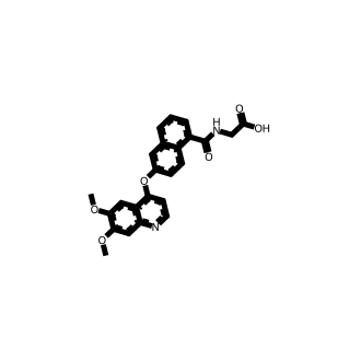 COc1cc2nccc(Oc3ccc4c(C(=O)NCC(=O)O)cccc4c3)c2cc1OC